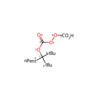 CCCCCC(OC(=O)OOC(=O)O)(C(C)(C)C)C(C)(C)C